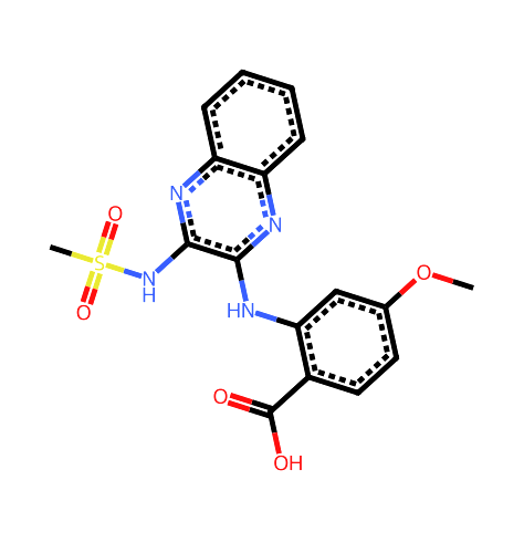 COc1ccc(C(=O)O)c(Nc2nc3ccccc3nc2NS(C)(=O)=O)c1